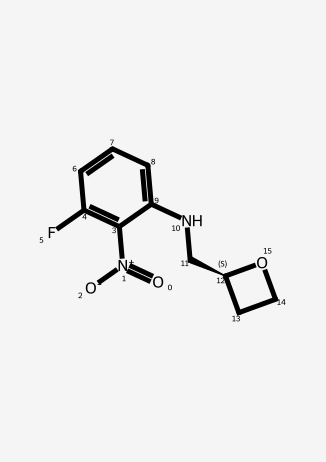 O=[N+]([O-])c1c(F)cccc1NC[C@@H]1CCO1